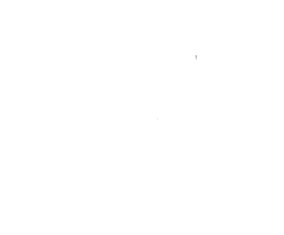 N#CCc1ccc(Br)[se]1